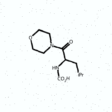 CC(C)CC(NC(=O)O)C(=O)N1CCOCC1